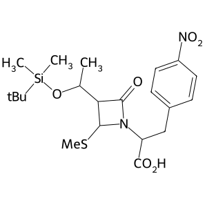 CSC1C(C(C)O[Si](C)(C)C(C)(C)C)C(=O)N1C(Cc1ccc([N+](=O)[O-])cc1)C(=O)O